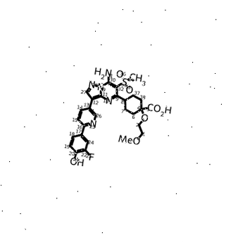 COCCOC1(C(=O)O)CCC(c2nc3c(-c4ccc(-c5ccc(O)c(F)c5)nc4)cnn3c(N)c2S(C)(=O)=O)CC1